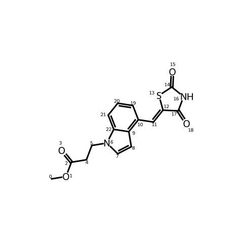 COC(=O)CCn1ccc2c(C=C3SC(=O)NC3=O)cccc21